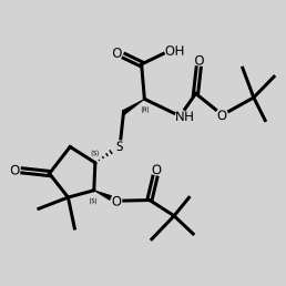 CC(C)(C)OC(=O)N[C@@H](CS[C@H]1CC(=O)C(C)(C)[C@@H]1OC(=O)C(C)(C)C)C(=O)O